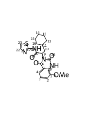 COc1cccc2c(=O)n(C(CC3CCCCC3)C(=O)Nc3nccs3)c(=O)[nH]c12